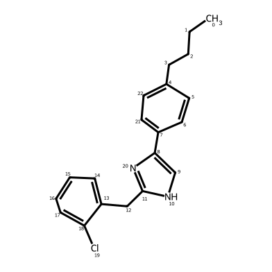 CCCCc1ccc(-c2c[nH]c(Cc3ccccc3Cl)n2)cc1